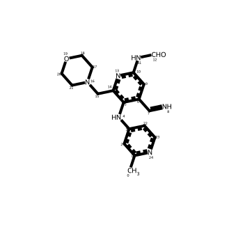 Cc1cc(Nc2c(C=N)cc(NC=O)nc2CN2CCOCC2)ccn1